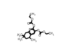 CCOC(=O)Oc1cc2c(nc1OC(=O)OCC)CC(C)(C)CC2C